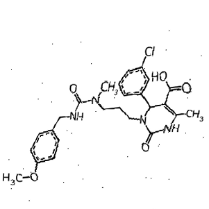 COc1ccc(CNC(=O)N(C)CCCN2C(=O)NC(C)=C(C(=O)O)C2c2cccc(Cl)c2)cc1